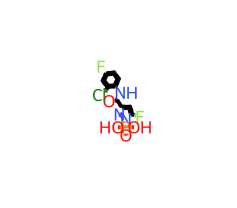 O=C(Nc1ccc(F)cc1Cl)c1cc(F)n(P(=O)(O)O)n1